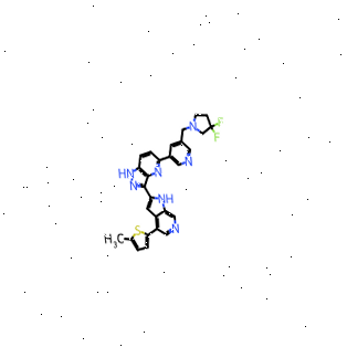 Cc1ccc(-c2cncc3[nH]c(-c4n[nH]c5ccc(-c6cncc(CN7CCC(F)(F)C7)c6)nc45)cc23)s1